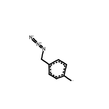 [CH2]c1ccc(CN=[N+]=[N-])cc1